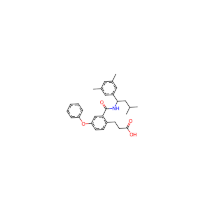 Cc1cc(C)cc(C(CC(C)C)NC(=O)c2cc(Oc3ccccc3)ccc2CCC(=O)O)c1